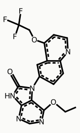 CCOc1ncnc2[nH]c(=O)n(-c3ccc4nccc(OCC(F)(F)F)c4c3)c12